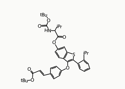 CC(C)c1ccccc1-c1sc2cc(OC(=O)C(NC(=O)OC(C)(C)C)C(C)C)ccc2c1Oc1ccc(C=CC(=O)OC(C)(C)C)cc1